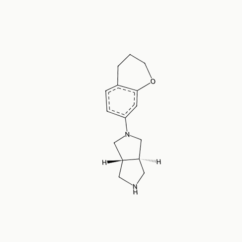 c1cc2c(cc1N1C[C@H]3CNC[C@@H]3C1)OCCC2